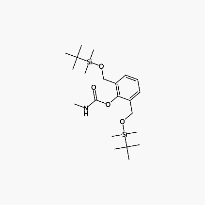 CNC(=O)Oc1c(CO[Si](C)(C)C(C)(C)C)cccc1CO[Si](C)(C)C(C)(C)C